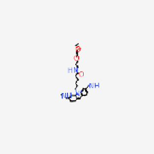 CCOCCOCCCNC(=O)CCCCC[n+]1c2cc(CNC)ccc2cc2ccc(CNC)cc21